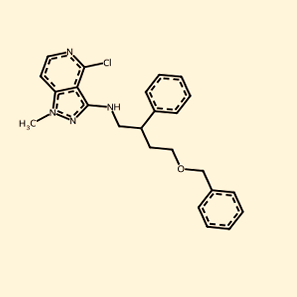 Cn1nc(NCC(CCOCc2ccccc2)c2ccccc2)c2c(Cl)nccc21